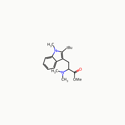 COC(=O)C(Cc1c(C(C)(C)C)n(C)c2ccccc12)N(C)C